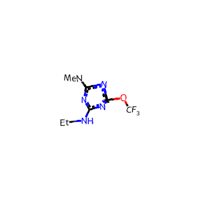 CCNc1nc(NC)nc(OC(F)(F)F)n1